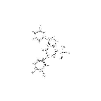 Cc1cc(-c2ncn3c(C(F)(F)F)cc(-c4ccc(F)c(Cl)c4)nc23)ccn1